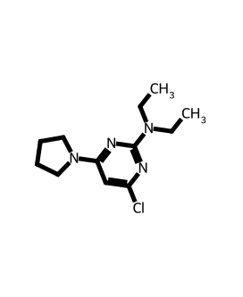 CCN(CC)c1nc(Cl)cc(N2CCCC2)n1